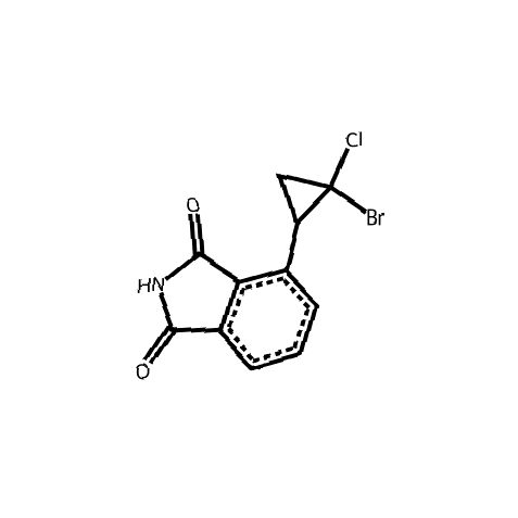 O=C1NC(=O)c2c1cccc2C1CC1(Cl)Br